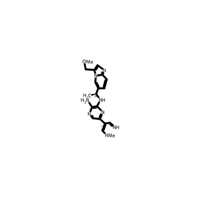 CN/C=C(\C=N)c1cnc(N)c(N[C@@H](C)c2ccc3ncc(COC)n3c2)n1